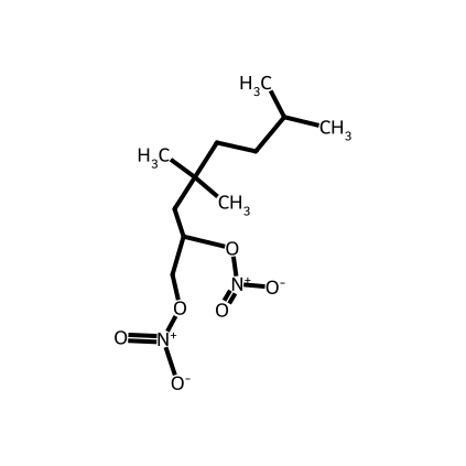 CC(C)CCC(C)(C)CC(CO[N+](=O)[O-])O[N+](=O)[O-]